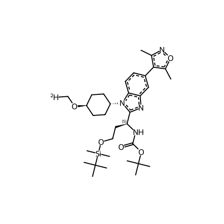 [2H]CO[C@H]1CC[C@H](n2c([C@H](CCO[Si](C)(C)C(C)(C)C)NC(=O)OC(C)(C)C)nc3cc(-c4c(C)noc4C)ccc32)CC1